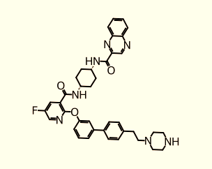 O=C(N[C@H]1CC[C@@H](NC(=O)c2cc(F)cnc2Oc2cccc(-c3ccc(CCN4CCNCC4)cc3)c2)CC1)c1cnc2ccccc2n1